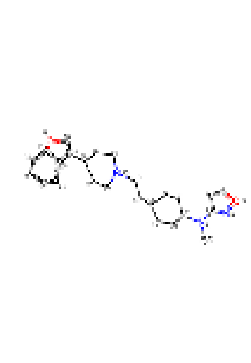 CC(=O)N(c1ccon1)C1CCC(CCN2CCC(c3coc4ccccc34)CC2)CC1